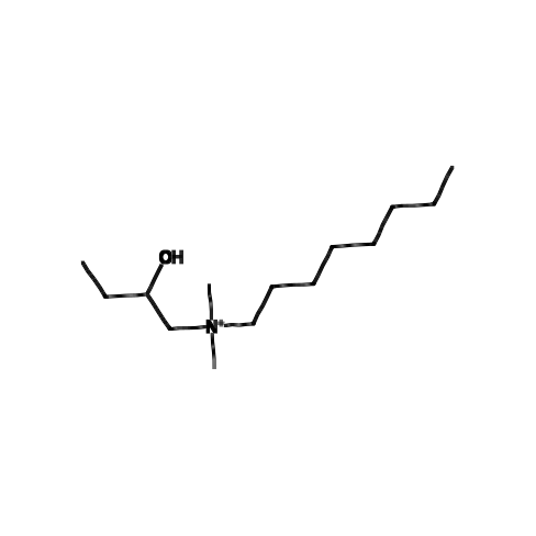 CCCCCCCC[N+](C)(C)CC(O)CC